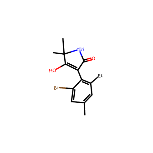 CCc1cc(C)cc(Br)c1C1=C(O)C(C)(C)NC1=O